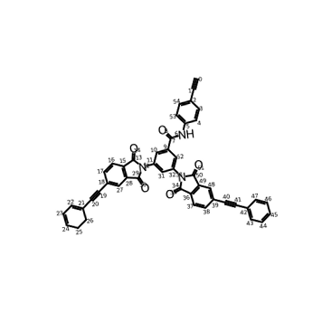 C#Cc1ccc(NC(=O)c2cc(N3C(=O)c4ccc(C#CC5=CC=CCC5)cc4C3=O)cc(N3C(=O)c4ccc(C#Cc5ccccc5)cc4C3=O)c2)cc1